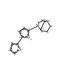 c1csc(-c2ccc(N3CCN4CCC3CC4)o2)c1